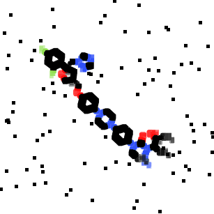 C=CN(C(=O)N(N)C(C)[C@H](C)O)c1ccc(N2CCN(c3ccc(OC[C@@H]4CO[C@@](Cn5cncn5)(c5ccc(F)cc5F)C4)cc3)CC2)cc1